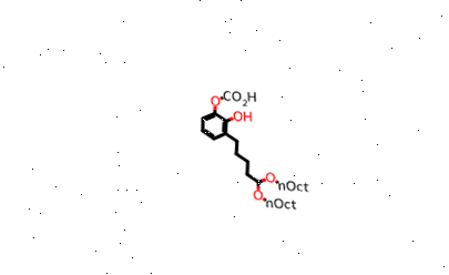 CCCCCCCCOC(CCCCc1cccc(OC(=O)O)c1O)OCCCCCCCC